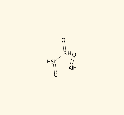 O=[SiH][SiH]=O.[O]=[AlH]